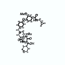 CCCCN1C(=O)[C@@H]([C@H](O)C2CCOCC2)NC(=O)C12CCN(Cc1ccc(Oc3ccc(C(=O)NCC4CC4)cc3OC)cc1)CC2